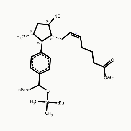 [C-]#[N+][C@@H]1C[C@@H](C)[C@H](c2ccc(C(CCCCC)O[Si](C)(C)C(C)(C)C)cc2)[C@H]1C/C=C\CCCC(=O)OC